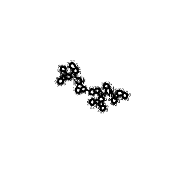 c1cc2c3c(cc(-c4ccc5c(ccc6c5c5c7c8ccccc8n8c9ccccc9c(cc5n6-c5nc(-n6c9ccccc9c9c%10ccccc%10ccc96)nc6ccccc56)c78)c4)cc3c1)-c1ncc(-n3c4ccc5ccccc5c4c4c5c6ccccc6n6c7ccccc7c(cc43)c56)nc1-2